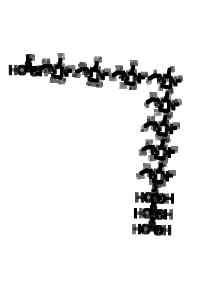 CCN1CCN(C)C1C.CCN1CCN(C)C1C.CCN1CCN(C)C1C.CCN1CCN(C)C1C.CCN1CCN(C)C1C.CCN1CCN(C)C1C.CCN1CCN(C)C1C.CCN1CCN(C)C1C.OB(O)F.OB(O)F.OB(O)F.OB(O)F